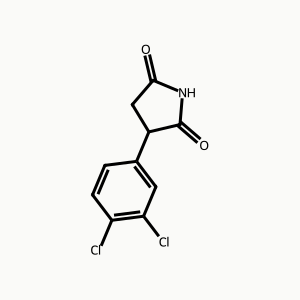 O=C1CC(c2ccc(Cl)c(Cl)c2)C(=O)N1